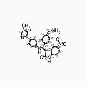 Cn1cnc(-c2ccc(N/C(=C3\C(=O)Nc4ccc([N+](=O)[O-])cc43)c3ccc(CN)cc3)cc2)c1